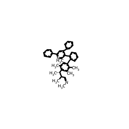 C/N=C\C(C)[C@H](C)c1c(C)c(C)c(-c2ccccc2-c2cnc(-c3ccccc3)cc2-c2ccccc2)c(C)c1C